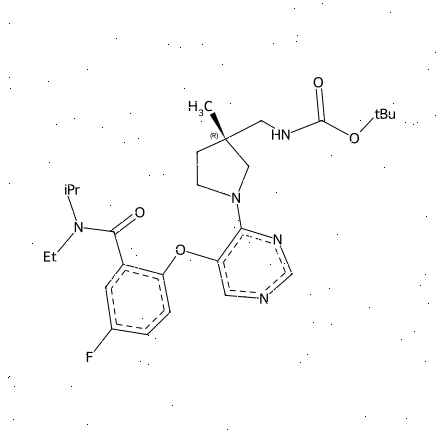 CCN(C(=O)c1cc(F)ccc1Oc1cncnc1N1CC[C@](C)(CNC(=O)OC(C)(C)C)C1)C(C)C